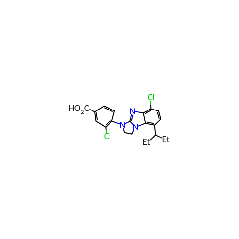 CCC(CC)c1ccc(Cl)c2nc3n(c12)CCN3c1ccc(C(=O)O)cc1Cl